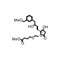 COCc1cccc(C[C@H](O)C=C[C@H]2[C@H](O)CC(=O)[C@@H]2CCSCCCC(=O)OC)c1